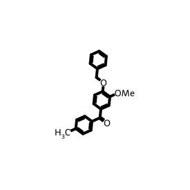 COc1cc(C(=O)c2ccc(C)cc2)ccc1OCc1ccccc1